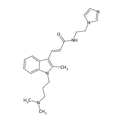 Cc1c(C=CC(=O)NCCn2ccnc2)c2ccccc2n1CCCN(C)C